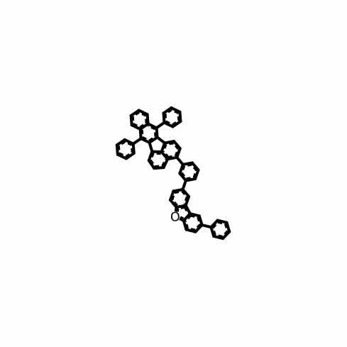 c1ccc(-c2ccc3oc4ccc(-c5cccc(-c6ccc7c8c(cccc68)-c6c-7c(-c7ccccc7)c7ccccc7c6-c6ccccc6)c5)cc4c3c2)cc1